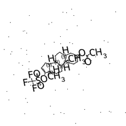 CC(=O)O[C@@H]1CC[C@@]2(C)[C@@H](CC[C@@H]3[C@@H]2CC[C@]2(C)C(OS(=O)(=O)C(F)(F)F)=CC[C@@H]32)C1